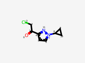 O=C(CCl)c1ccn(C2CC2)n1